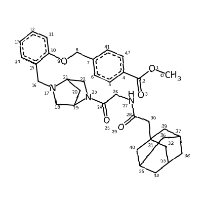 COC(=O)c1ccc(COc2ccccc2CN2CC3CC2CN3C(=O)CNC(=O)CC23CC4CC(CC(C4)C2)C3)cc1